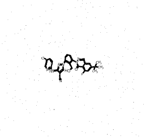 CC(C)(C)c1cc(F)c2c(=O)n(-c3cccc(-n4cc(C#N)c(Nc5ccc(Cl)cn5)n4)c3CO)ncc2c1